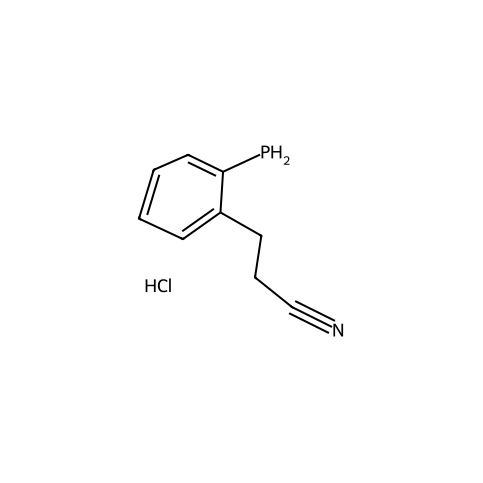 Cl.N#CCCc1ccccc1P